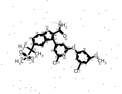 COc1cc(Cl)cc(Oc2cc(-c3c(C(N)=O)sc4ccc(C(C)(C)S(C)(=O)=O)cc34)cc(Cl)n2)c1